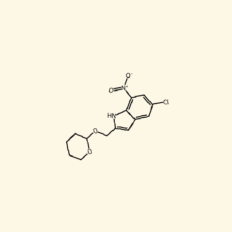 O=[N+]([O-])c1cc(Cl)cc2cc(COC3CCCCO3)[nH]c12